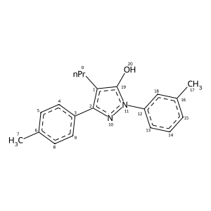 CCCc1c(-c2ccc(C)cc2)nn(-c2cccc(C)c2)c1O